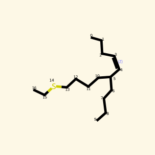 CCC/C=C\C(CCCC)CCCCSCC